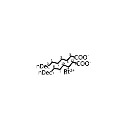 CCCCCCCCCCCCCCCC(=O)[O-].CCCCCCCCCCCCCCCC(=O)[O-].[Pt+2]